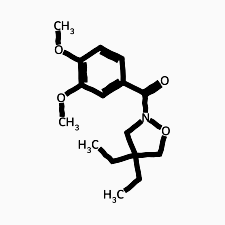 CCC1(CC)CON(C(=O)c2ccc(OC)c(OC)c2)C1